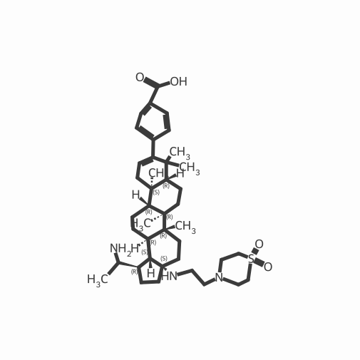 CC(N)[C@@H]1CC[C@]2(NCCN3CCS(=O)(=O)CC3)CC[C@]3(C)[C@H](CC[C@@H]4[C@@]5(C)CC=C(c6ccc(C(=O)O)cc6)C(C)(C)[C@@H]5CC[C@]43C)[C@@H]12